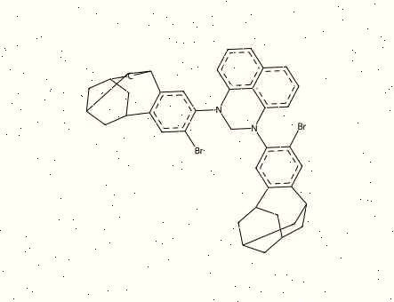 Brc1cc2c(cc1N1CN(c3cc4c(cc3Br)C3CC5CC(C3)CC4C5)c3cccc4cccc1c34)C1CC3CC(CC2C3)C1